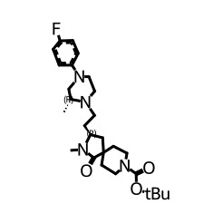 C[C@@H]1CN(c2ccc(F)cc2)CCN1CC[C@H]1CC2(CCN(C(=O)OC(C)(C)C)CC2)C(=O)N1C